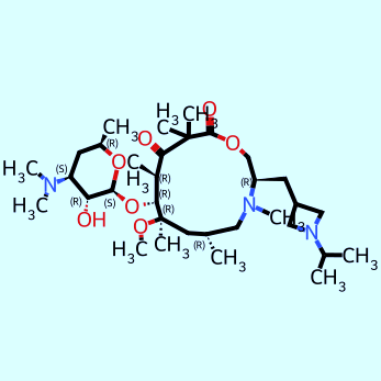 CO[C@]1(C)C[C@@H](C)CN(C)[C@H](CC2CN(C(C)C)C2)COC(=O)C(C)(C)C(=O)[C@H](C)[C@H]1O[C@@H]1O[C@H](C)C[C@H](N(C)C)[C@H]1O